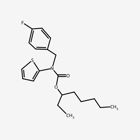 CCCCCC(CC)OC(=O)N(Cc1ccc(F)cc1)c1cccs1